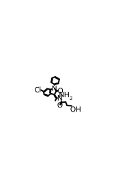 C/C(=C1/C(=O)N(c2ccccc2)c2cc(Cl)ccc21)N(N)C(=O)CCCO